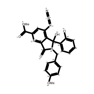 COC(=O)c1cc(N=[N+]=[N-])c2c(n1)C(=O)N(Cc1ccc(OC)cc1)C2(O)c1ccccc1Cl